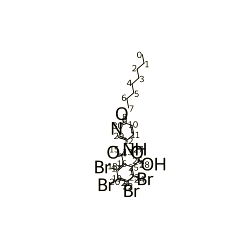 CCCCCCCCOc1ccc(NC(=O)c2c(Br)c(Br)c(Br)c(Br)c2C(=O)O)cn1